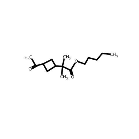 CCCCCOC(=O)C(C)(C)C1CC(C(C)=O)C1